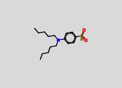 CCCCCN(CCCCC)c1ccc([SH](=O)=O)cc1